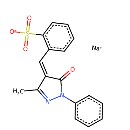 CC1=NN(c2ccccc2)C(=O)C1=Cc1ccccc1S(=O)(=O)[O-].[Na+]